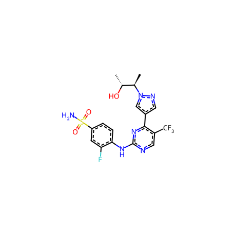 C[C@H]([C@@H](C)O)n1cc(-c2nc(Nc3ccc(S(N)(=O)=O)cc3F)ncc2C(F)(F)F)cn1